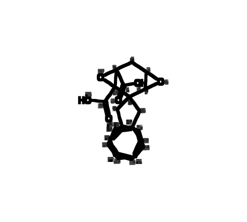 O=C(O)C12CC3OC3C(Cc3ccccc3)(Cc3ccccc3)C1(C(=O)O)O2